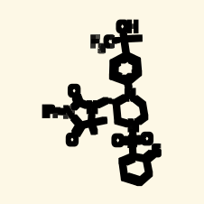 CC(C)N1C(=O)N(C[C@H]2CN(S(=O)(=O)C3=CC=CCC3=S)CCN2c2ccc([C@@](C)(O)C(F)(F)F)cc2)C(C)(C)C1=O